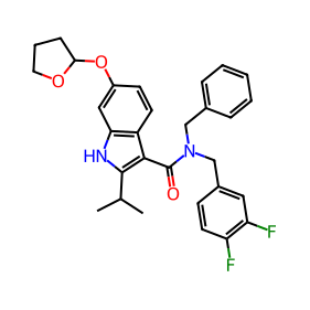 CC(C)c1[nH]c2cc(OC3CCCO3)ccc2c1C(=O)N(Cc1ccccc1)Cc1ccc(F)c(F)c1